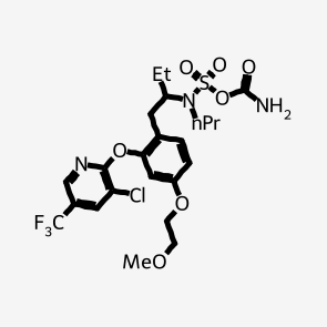 CCCN(C(CC)Cc1ccc(OCCOC)cc1Oc1ncc(C(F)(F)F)cc1Cl)S(=O)(=O)OC(N)=O